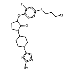 CC(C)c1nsc(N2CCC(N3CCC(Oc4ccc(SCCCCl)cc4F)C3=O)CC2)n1